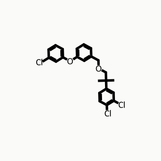 CC(C)(COCc1cccc(Oc2cccc(Cl)c2)c1)c1ccc(Cl)c(Cl)c1